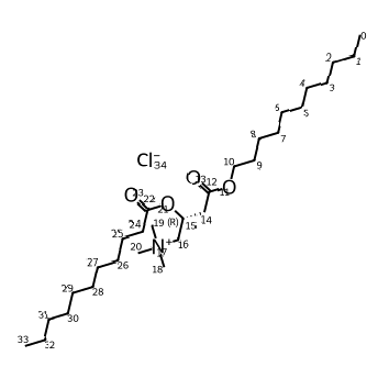 CCCCCCCCCCCOC(=O)C[C@H](C[N+](C)(C)C)OC(=O)CCCCCCCCCC.[Cl-]